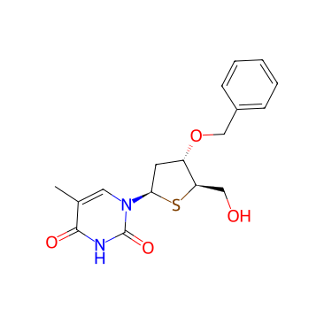 Cc1cn([C@H]2C[C@H](OCc3ccccc3)[C@@H](CO)S2)c(=O)[nH]c1=O